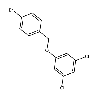 Clc1cc(Cl)cc(OCc2ccc(Br)cc2)c1